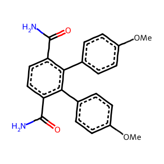 COc1ccc(-c2c(C(N)=O)ccc(C(N)=O)c2-c2ccc(OC)cc2)cc1